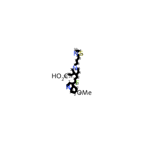 COc1ccc2nccc([C@@H](F)CCC3CCN(CCCCc4nccs4)CC3CCC(=O)O)c2c1